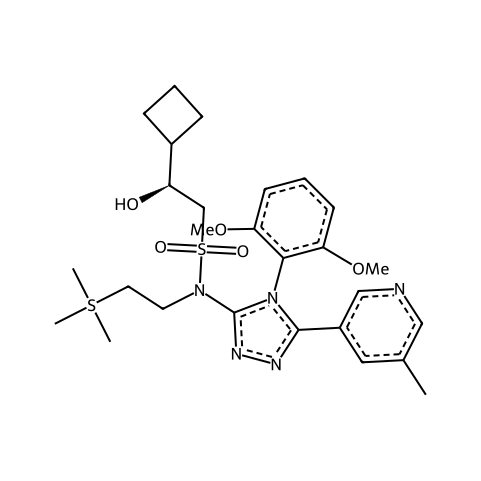 COc1cccc(OC)c1-n1c(-c2cncc(C)c2)nnc1N(CCS(C)(C)C)S(=O)(=O)C[C@@H](O)C1CCC1